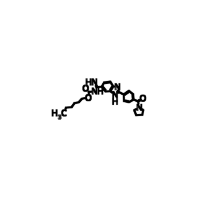 CCCCCCOC(=O)NC(=N)c1ccc2nc(-c3ccc(C(=O)N4CCCC4)cc3)[nH]c2c1